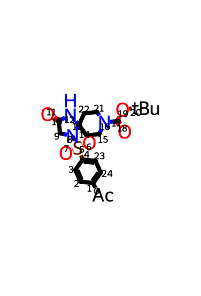 CC(=O)c1ccc(S(=O)(=O)N2CC(=O)NC23CCN(C(=O)OC(C)(C)C)CC3)cc1